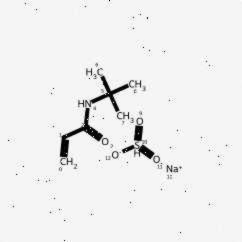 C=CC(=O)NC(C)(C)C.O=[SH](=O)[O-].[Na+]